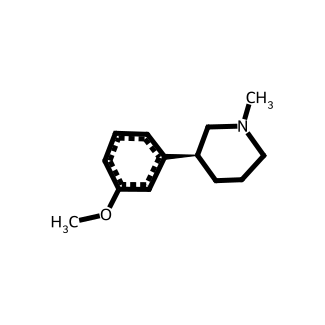 COc1cccc([C@@H]2CCCN(C)C2)c1